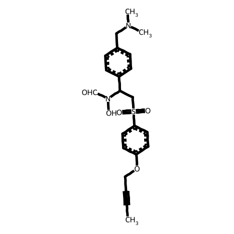 CC#CCOc1ccc(S(=O)(=O)CC(c2ccc(CN(C)C)cc2)N(O)C=O)cc1